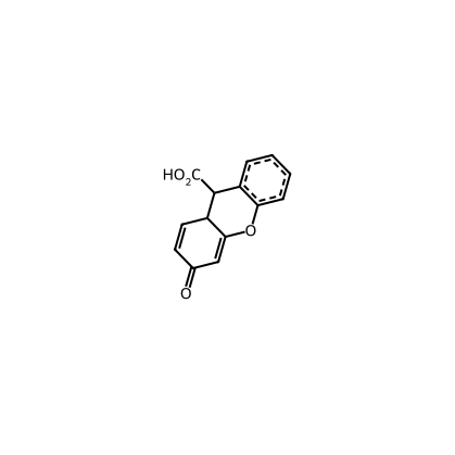 O=C1C=CC2C(=C1)Oc1ccccc1C2C(=O)O